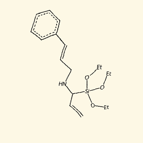 C=CC(NCC=Cc1ccccc1)[Si](OCC)(OCC)OCC